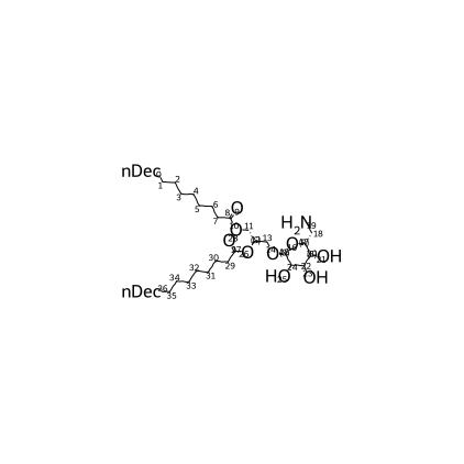 CCCCCCCCCCCCCCCCCC(=O)OC[C@H](CO[C@H]1O[C@H](CN)[C@@H](O)C(O)C1O)OC(=O)CCCCCCCCCCCCCCCCC